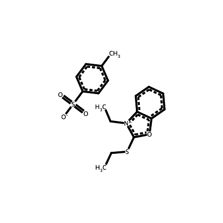 CCSc1oc2ccccc2[n+]1CC.Cc1ccc(S(=O)(=O)[O-])cc1